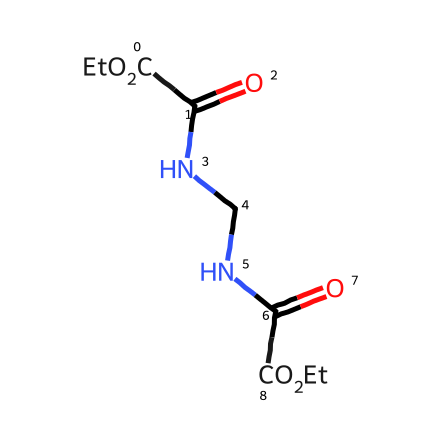 CCOC(=O)C(=O)NCNC(=O)C(=O)OCC